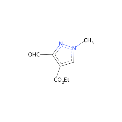 CCOC(=O)c1cn(C)nc1C=O